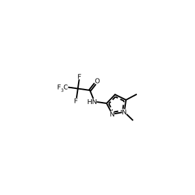 Cc1cc(NC(=O)C(F)(F)C(F)(F)F)nn1C